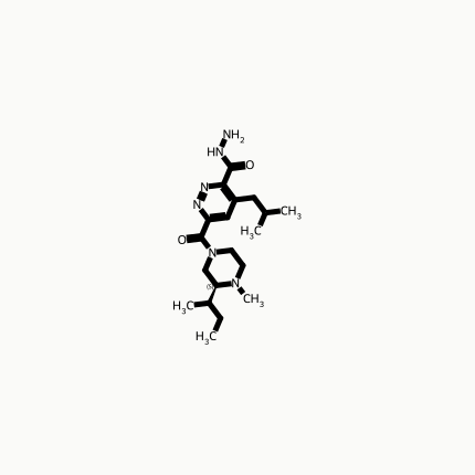 CCC(C)[C@H]1CN(C(=O)c2cc(CC(C)C)c(C(=O)NN)nn2)CCN1C